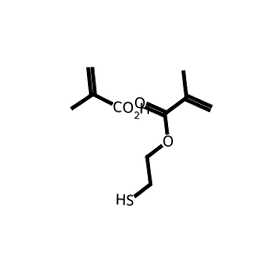 C=C(C)C(=O)O.C=C(C)C(=O)OCCS